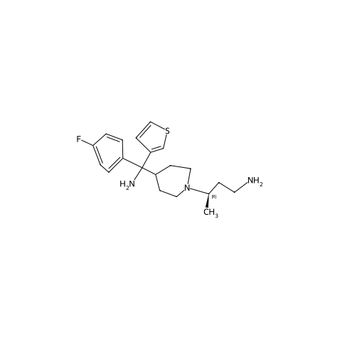 C[C@H](CCN)N1CCC(C(N)(c2ccc(F)cc2)c2ccsc2)CC1